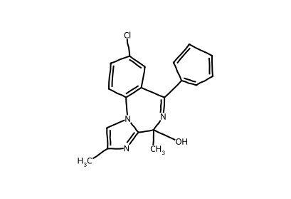 Cc1cn2c(n1)C(C)(O)N=C(c1ccccc1)c1cc(Cl)ccc1-2